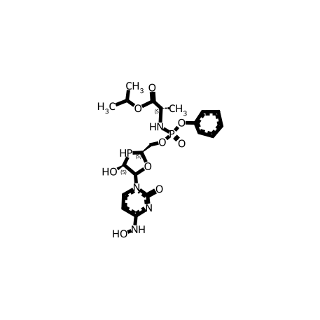 CC(C)OC(=O)[C@H](C)NP(=O)(OC[C@H]1OC(n2ccc(NO)nc2=O)[C@@H](O)P1)Oc1ccccc1